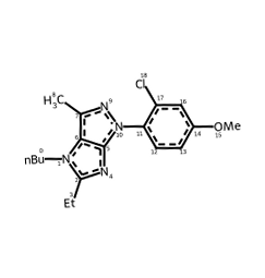 CCCCn1c(CC)nc2c1c(C)nn2-c1ccc(OC)cc1Cl